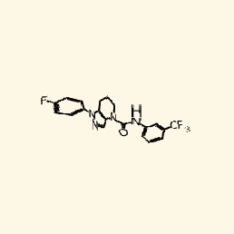 O=C(Nc1cccc(C(F)(F)F)c1)N1CCCc2c1cnn2-c1ccc(F)cc1